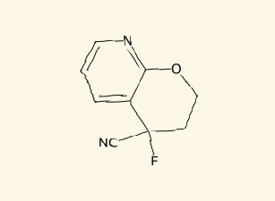 N#CC1(F)CCOc2ncccc21